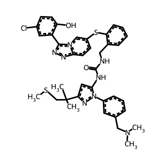 CSCC(C)(C)c1cc(NC(=O)NCc2ccccc2Sc2ccc3nnc(-c4cc(Cl)ccc4O)n3c2)n(-c2cccc(CN(C)C)c2)n1